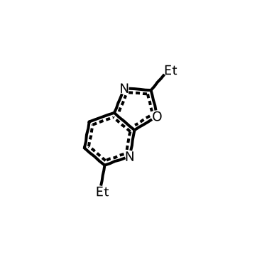 CCc1ccc2nc(CC)oc2n1